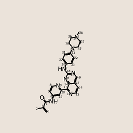 C=C(C)C(=O)Nc1ccnc(-c2nccc3cnc(Nc4ccc(N5CCN(C)CC5)cc4)nc23)c1